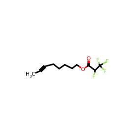 CC#CCCCCCOC(=O)C(F)C(F)(F)F